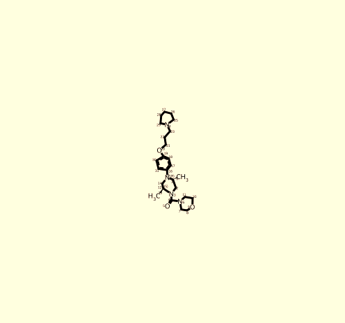 C[C@@H]1CN(C(=O)N2CCOCC2)[C@@H](C)CN1c1ccc(OCCCN2CCCCC2)cc1